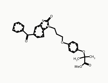 COC(=O)C(C)(C)Oc1ccc(OCCCn2c(=O)sc3cc(C(=O)c4ccccc4)ccc32)cc1